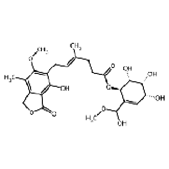 COc1c(C)c2c(c(O)c1C/C=C(\C)CCC(=O)O[C@@H]1C(C(O)OC)=C[C@@H](O)[C@@H](O)[C@H]1O)C(=O)OC2